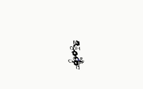 O=C(/C=C(\c1cc(Cl)cc(Cl)c1)C(F)(F)F)c1ccc(C(=O)NCc2ccccn2)cc1